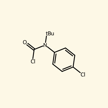 CC(C)(C)N(C(=O)Cl)c1ccc(Cl)cc1